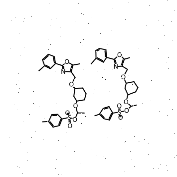 Cc1ccc(S(=O)(=O)OC(C)OC2CCCC(OCc3nc(-c4cccc(C)c4)oc3C)C2)cc1.Cc1ccc(S(=O)(=O)OC(C)OC2CCCC(OCc3nc(-c4cccc(C)c4)oc3C)C2)cc1